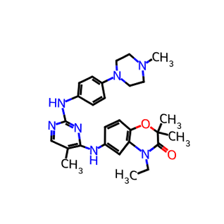 CCN1C(=O)C(C)(C)Oc2ccc(Nc3nc(Nc4ccc(N5CCN(C)CC5)cc4)ncc3C)cc21